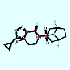 NC1CCN(S(=O)(=O)N2[C@@H]3CC[C@H]2C[C@H](NC(=O)c2cc(C4CC4)no2)C3)CC1